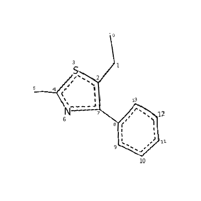 [CH2]Cc1sc(C)nc1-c1ccccc1